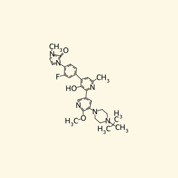 COc1ncc(-c2nc(C)cc(-c3ccc(-n4ccn(C)c4=O)c(F)c3)c2O)cc1N1CCN(C(C)(C)C)CC1